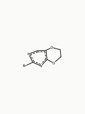 Brc1ncc2c(n1)OCCO2